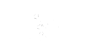 CC(C)Cc1sc(N)nc1-c1ccc(P(=O)(ON[C@H](C)C(=O)OC(C)C)Oc2ccc3c(c2)OCO3)o1